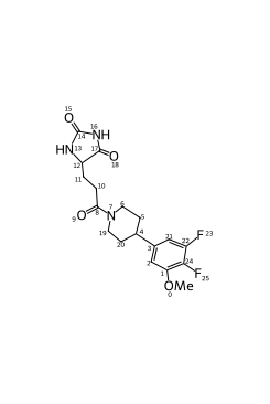 COc1cc(C2CCN(C(=O)CCC3NC(=O)NC3=O)CC2)cc(F)c1F